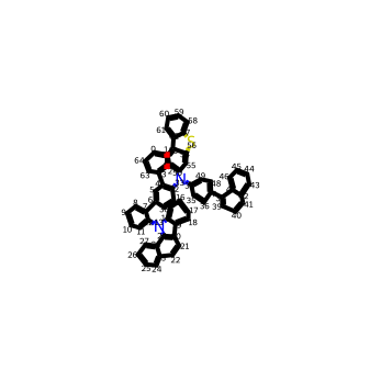 c1ccc(-c2cc(-c3ccccc3-n3c4ccccc4c4ccc5ccccc5c43)ccc2N(c2ccc(-c3cccc4ccccc34)cc2)c2ccc3c(c2)sc2ccccc23)cc1